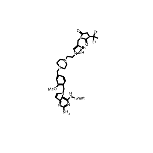 CCCCCNc1nc(N)nc2ccn(Cc3ccc(CN4CCN(CCN5C=C(CN6C(=O)CC(C(C)(CC)CC)C6=O)NN5)CC4)cc3OC)c12